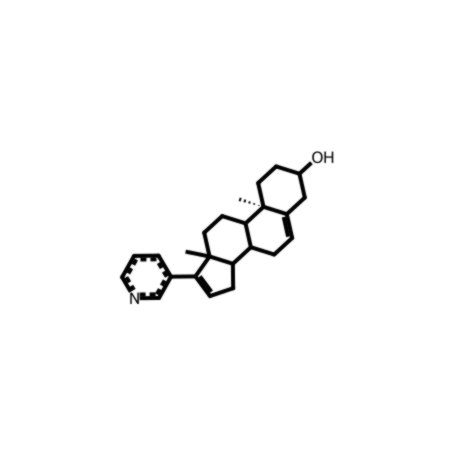 CC12CCC3C(CC=C4CC(O)CC[C@@]43C)C1CC=C2c1cccnc1